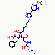 CSc1ncc(-c2cn(CCCCCC(=O)N(C(=O)CNC(=O)CN)[C@@H](Cc3ccccc3)C(=O)O)nn2)cn1